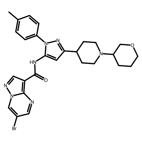 Cc1ccc(-n2nc(C3CCN(C4CCCOC4)CC3)cc2NC(=O)c2cnn3cc(Br)cnc23)cc1